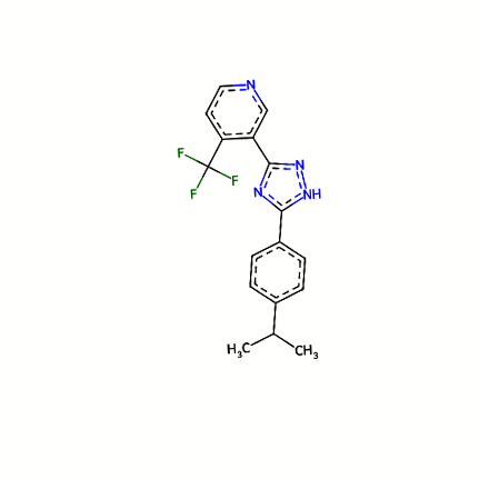 CC(C)c1ccc(-c2nc(-c3cnccc3C(F)(F)F)n[nH]2)cc1